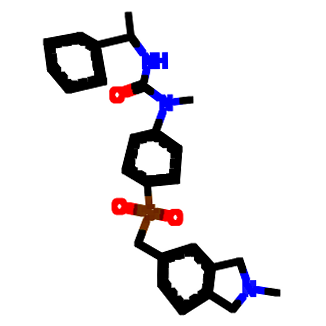 CC(NC(=O)N(C)c1ccc(S(=O)(=O)Cc2ccc3c(c2)CN(C)C3)cc1)c1ccccc1